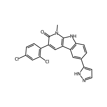 Cn1c(=O)c(-c2ccc(Cl)cc2Cl)cc2c3cc(-c4ccn[nH]4)ccc3[nH]c21